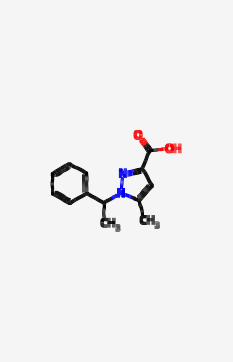 Cc1cc(C(=O)O)nn1C(C)c1ccccc1